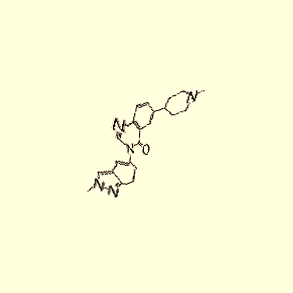 CN1CCC(c2ccc3ncn(-c4ccc5nn(C)cc5c4)c(=O)c3c2)CC1